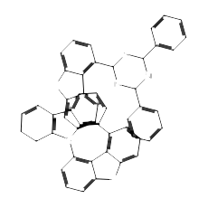 C1=Cc2c(n(-c3cccc4oc5cccc(-c6ccc7sc8cccc(C9NC(c%10ccccc%10)NC(c%10ccccc%10)N9)c8c7c6)c5c34)c3ccccc23)CC1